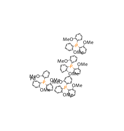 COc1ccccc1P(c1ccccc1OC)c1ccccc1OC.COc1ccccc1P(c1ccccc1OC)c1ccccc1OC.COc1ccccc1P(c1ccccc1OC)c1ccccc1OC.COc1ccccc1P(c1ccccc1OC)c1ccccc1OC.[Pd]